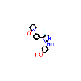 O=C1CCCCN1c1cccc(-c2nc(N[C@H]3CC[C@H](O)CC3)ncc2F)c1